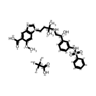 COc1cc2c(cc1C(=O)O)ncn2CCC(C)(C)NC[C@H](O)c1cccc(NS(=O)(=O)c2ccccc2)c1.O=C(O)C(F)(F)F